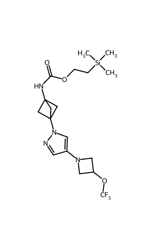 C[Si](C)(C)CCOC(=O)NC12CC(n3cc(N4CC(OC(F)(F)F)C4)cn3)(C1)C2